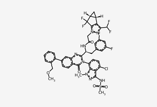 COCc1ccccc1-c1ccc2c(=O)n(-c3ccc(Cl)c4c(NS(C)(=O)=O)nn(C)c34)c([C@H](Cc3cc(F)cc(F)c3)NC(=O)Cn3nc(C(F)F)c4c3C(F)(F)[C@@H]3C[C@H]43)nc2c1